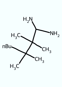 CCCCC(C)(C)C(C)(C)C(N)N